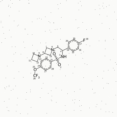 O=S(=O)(NC(CN1CC(N2CCC2)C1)c1ccc(F)cc1)c1ccc(OC(F)(F)F)cc1